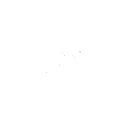 CC(C)(C)OC(=O)NCc1cnc(-c2ccc(CCCCN3CCOCC3)cc2)s1